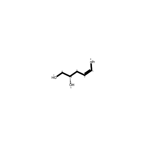 CCC/C=C\C[C@H](O)CO